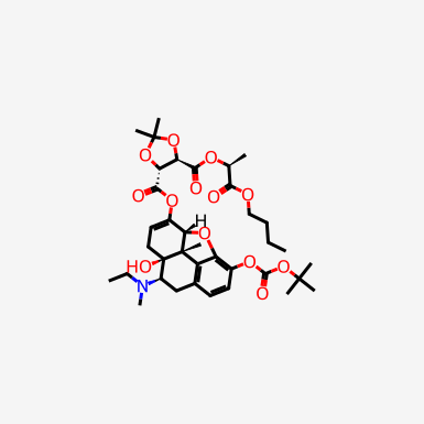 CCCCOC(=O)[C@H](C)OC(=O)[C@@H]1OC(C)(C)O[C@H]1C(=O)OC1=CC[C@@]2(O)[C@H](N(C)CC)Cc3ccc(OC(=O)OC(C)(C)C)c4c3[C@@]2(C)[C@H]1O4